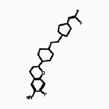 CCCc1cc2c(cc1F)OC(C1CCC(CCC3CCC(C=C(F)F)CC3)CC1)CC2